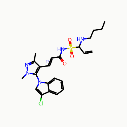 C=CC(NCCCC)S(=O)(=O)NC(=O)/C=C/c1c(C)nn(C)c1-n1cc(Cl)c2ccccc21